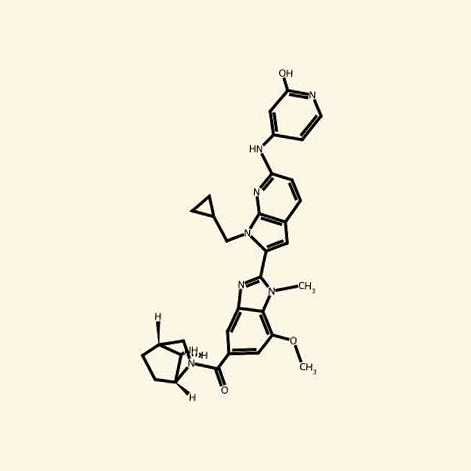 COc1cc(C(=O)N2C[C@H]3CC[C@@H]2[C@@H]3N)cc2nc(-c3cc4ccc(Nc5ccnc(O)c5)nc4n3CC3CC3)n(C)c12